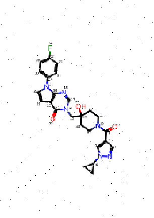 O=C(c1cnn(C2CC2)c1)N1CCC(O)(Cn2cnc3c(ccn3-c3ccc(F)cc3)c2=O)CC1